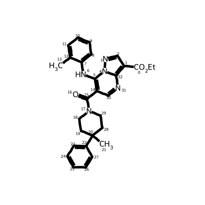 CCOC(=O)c1cnn2c(Nc3ccccc3C)c(C(=O)N3CCC(C)(c4ccccc4)CC3)cnc12